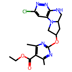 CCOC(=O)c1c(C)nc(OC2CC3CNc4nnc(Cl)cc4N3C2)nc1C